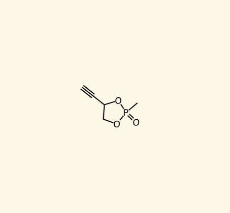 C#CC1COP(C)(=O)O1